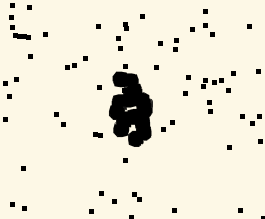 c1ccc(-c2cccc(-c3ccc4c(c3)-c3cc(-c5cccc(-c6ccccc6)n5)ccc3C4c3ccc4oc5ccc(-n6c7ccc(-c8cccc(-c9ccccc9)n8)cc7c7cc(-c8cccc(-c9ccccc9)n8)ccc76)cc5c4c3)c2)cc1